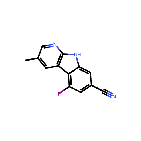 Cc1cnc2[nH]c3cc(C#N)cc(I)c3c2c1